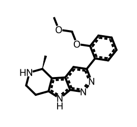 COCOc1ccccc1-c1cc2c3c([nH]c2nn1)CCN[C@H]3C